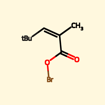 CC(=CC(C)(C)C)C(=O)OBr